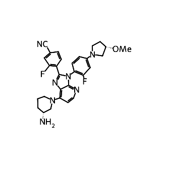 CO[C@H]1CCN(c2ccc(-n3c(-c4ccc(C#N)cc4F)nc4c(N5CCC[C@@H](N)C5)ccnc43)c(F)c2)C1